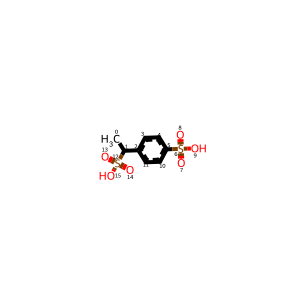 CC(c1ccc(S(=O)(=O)O)cc1)S(=O)(=O)O